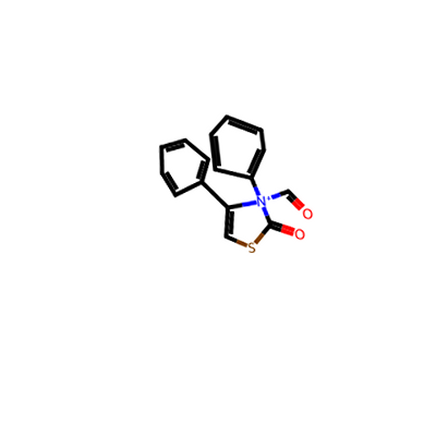 O=C[N+]1(c2ccccc2)C(=O)SC=C1c1ccccc1